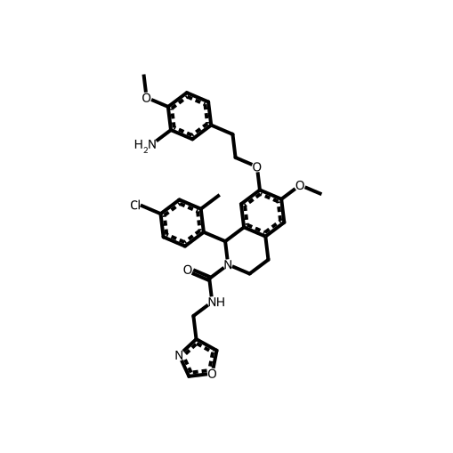 COc1ccc(CCOc2cc3c(cc2OC)CCN(C(=O)NCc2cocn2)C3c2ccc(Cl)cc2C)cc1N